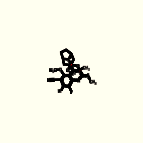 COc1c(C#N)c(Br)c(F)c2nc(SC)nc(N3CC4CCC(C3)N4C(=O)OC(C)(C)C)c12